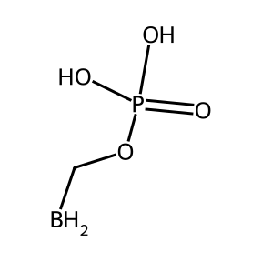 BCOP(=O)(O)O